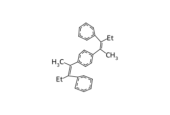 CCC(=C(C)c1ccc(C(C)=C(CC)c2ccccc2)cc1)c1ccccc1